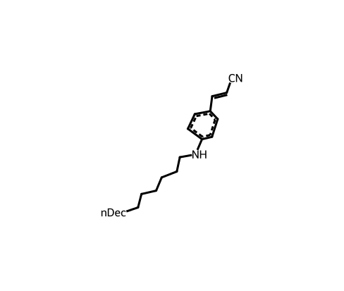 CCCCCCCCCCCCCCCCNc1ccc(C=CC#N)cc1